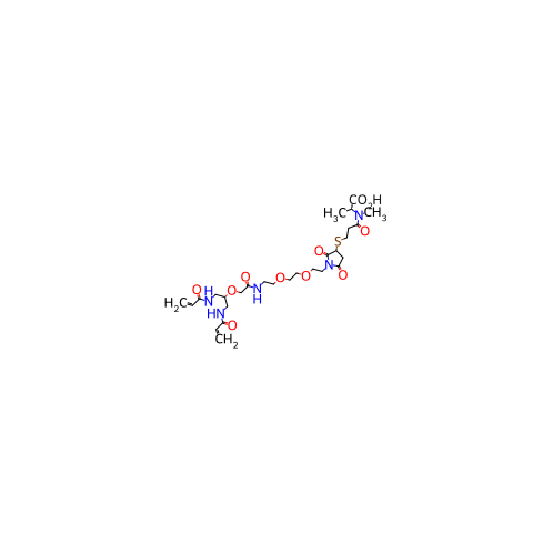 C=CC(=O)NCC(CNC(=O)C=C)OCC(=O)NCCOCCOCCN1C(=O)CC(SCCC(=O)N(C)[C@@H](C)C(=O)O)C1=O